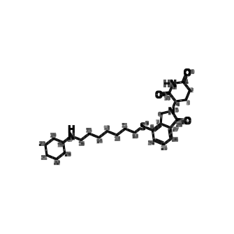 O=C1CCC(N2Cc3c(SCCCCCCCNC4CCCCC4)cccc3C2=O)C(=O)N1